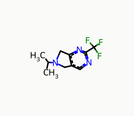 CC(C)N1Cc2cnc(C(F)(F)F)nc2C1